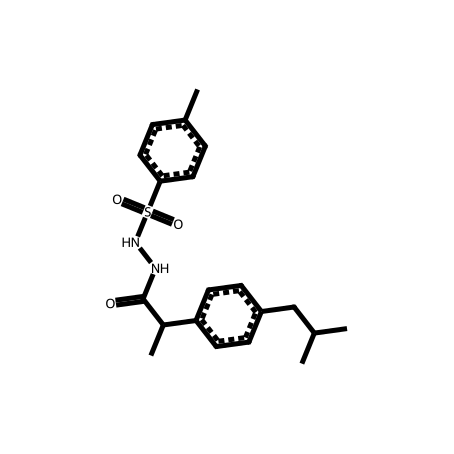 Cc1ccc(S(=O)(=O)NNC(=O)C(C)c2ccc(CC(C)C)cc2)cc1